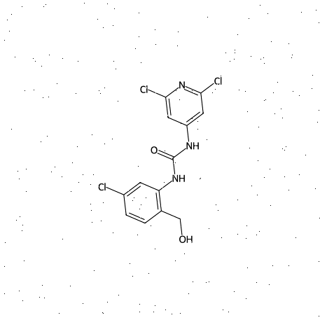 O=C(Nc1cc(Cl)nc(Cl)c1)Nc1cc(Cl)ccc1CO